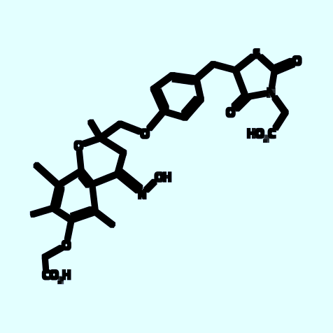 Cc1c(C)c2c(c(C)c1OCC(=O)O)C(=NO)CC(C)(COc1ccc(CC3SC(=O)N(CC(=O)O)C3=O)cc1)O2